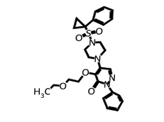 CCOCCOc1c(N2CCN(S(=O)(=O)C3(c4ccccc4)CC3)CC2)cnn(-c2ccccc2)c1=O